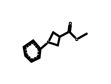 COC(=O)C1CN(c2ccccc2)C1